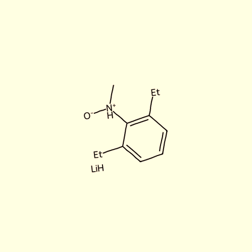 CCc1cccc(CC)c1[NH+](C)[O-].[LiH]